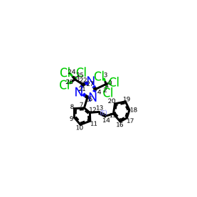 ClC(Cl)(Cl)c1nc(-c2ccccc2/C=C/c2ccccc2)nc(C(Cl)(Cl)Cl)n1